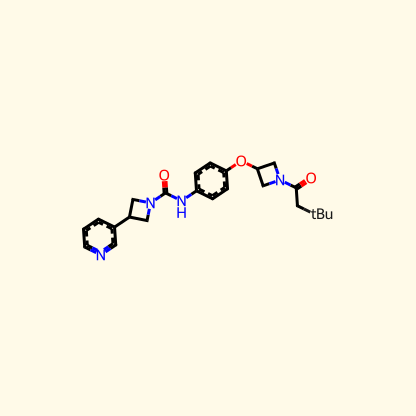 CC(C)(C)CC(=O)N1CC(Oc2ccc(NC(=O)N3CC(c4cccnc4)C3)cc2)C1